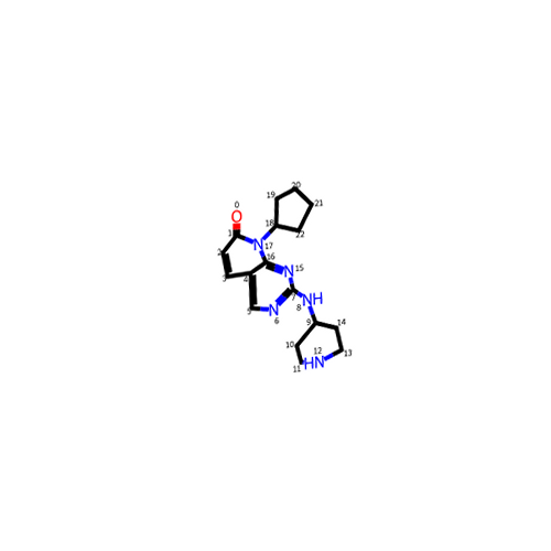 O=c1ccc2cnc(NC3CCNCC3)nc2n1C1CCCC1